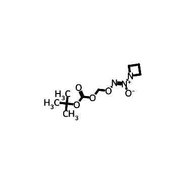 CC(C)(C)OC(=O)OCO/N=[N+](\[O-])N1CCC1